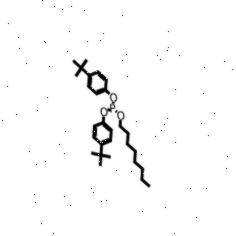 CCCCCCCCOP(Oc1ccc(C(C)(C)C)cc1)Oc1ccc(C(C)(C)C)cc1